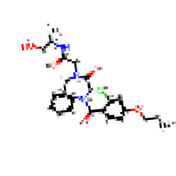 CC(=O)OCCOc1ccc(C(=O)N2CC(=O)N(CC(=O)NC(C)CO)Cc3ccccc32)c(Cl)c1